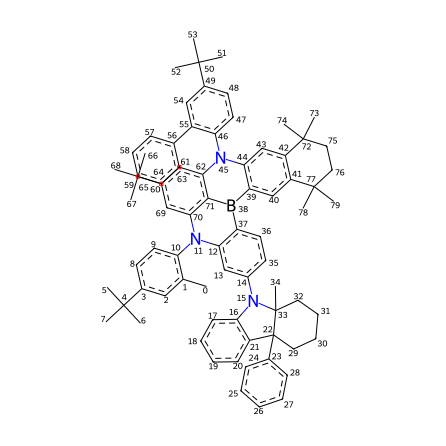 Cc1cc(C(C)(C)C)ccc1N1c2cc(N3c4ccccc4C4(c5ccccc5)CCCCC34C)ccc2B2c3cc4c(cc3N(c3ccc(C(C)(C)C)cc3-c3ccccc3)c3cc(C(C)(C)C)cc1c32)C(C)(C)CCC4(C)C